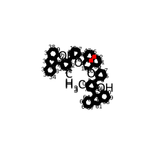 Cc1cc(-c2ccccc2OC(C[C@@H](Oc2ccccc2-c2cc(C)cc(-c3c4c(cc5c3CCCC5)CCCC4)c2O)c2ccccc2)c2ccccc2)c(O)c(-c2c3c(cc4c2CCCC4)CCCC3)c1